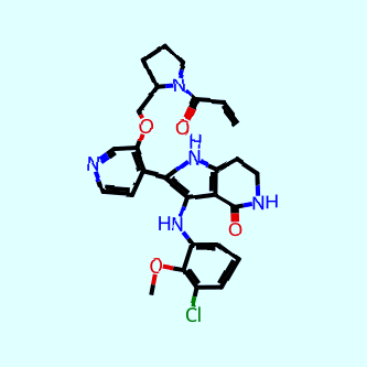 C=CC(=O)N1CCCC1COc1cnccc1-c1[nH]c2c(c1Nc1cccc(Cl)c1OC)C(=O)NCC2